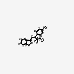 CC1(C)C(=O)c2cc(Br)ccc2C1CC1CCc2ccccc21